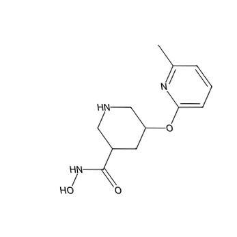 Cc1cccc(OC2CNCC(C(=O)NO)C2)n1